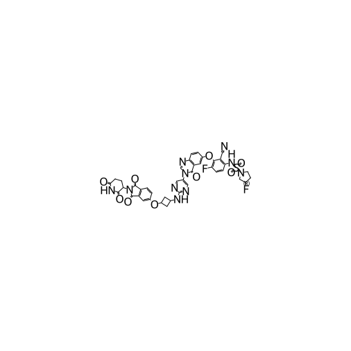 N#Cc1c(NS(=O)(=O)N2CC[C@@H](F)C2)ccc(F)c1Oc1ccc2ncn(-c3cnc(NC4CC(Oc5ccc6c(c5)C(=O)N(C5CCC(=O)NC5=O)C6=O)C4)nc3)c(=O)c2c1